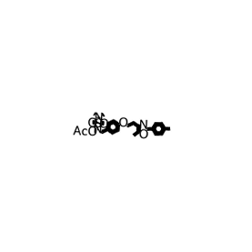 CC(=O)ON(Cc1ccc(OCCc2nc(-c3ccc(C)cc3)oc2C)cc1)S(=O)(=O)N(C)C